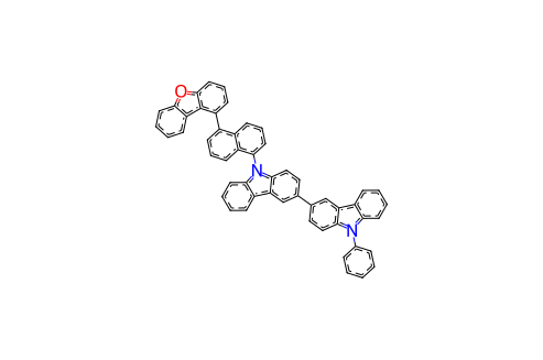 c1ccc(-n2c3ccccc3c3cc(-c4ccc5c(c4)c4ccccc4n5-c4cccc5c(-c6cccc7oc8ccccc8c67)cccc45)ccc32)cc1